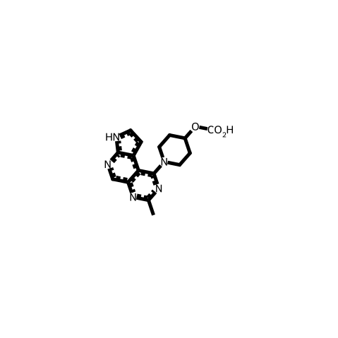 Cc1nc(N2CCC(OC(=O)O)CC2)c2c(cnc3[nH]ccc32)n1